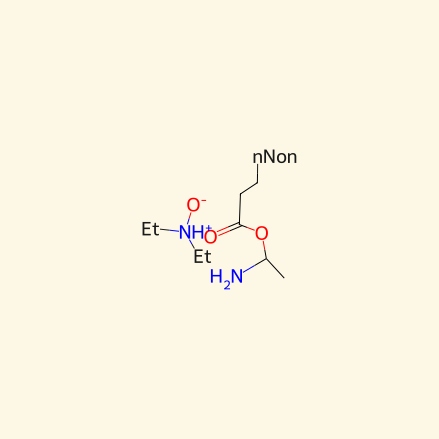 CCCCCCCCCCCC(=O)OC(C)N.CC[NH+]([O-])CC